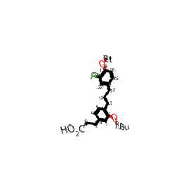 CCCCOc1cc(CCC(=O)O)ccc1CCCc1ccc(OCC)c(F)c1